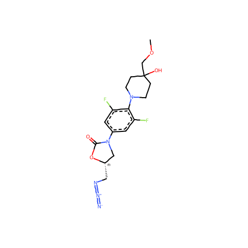 COCC1(O)CCN(c2c(F)cc(N3C[C@H](CN=[N+]=[N-])OC3=O)cc2F)CC1